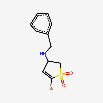 O=S1(=O)CC(NCc2ccccc2)C=C1Br